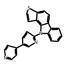 c1ccc2c(c1)c1ccc3sccc3c1n2-c1ccc(-c2ccncc2)cn1